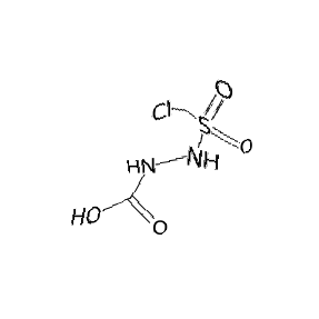 O=C(O)NNS(=O)(=O)Cl